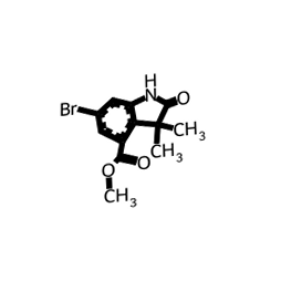 COC(=O)c1cc(Br)cc2c1C(C)(C)C(=O)N2